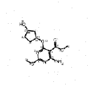 COC(=O)c1c(N)nc(SC)nc1O[C@H]1CC[C@@H](O)C1